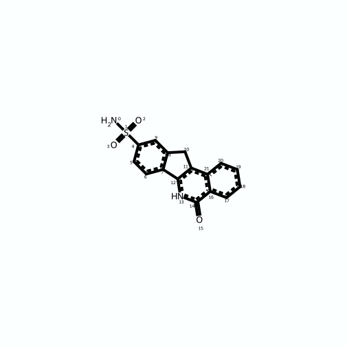 NS(=O)(=O)c1ccc2c(c1)Cc1c-2[nH]c(=O)c2ccccc12